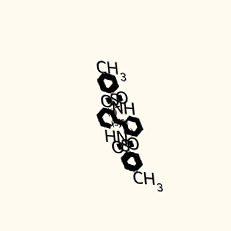 Cc1ccc(S(=O)(=O)N[C@H]2CCCC[C@H]2[C@H]2CCCC[C@H]2NS(=O)(=O)c2ccc(C)cc2)cc1